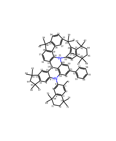 Cc1cc2c(cc1N1c3cc4c(cc3B3c5ccc6c7c5N(c5cc8c(c(c5C)C(C)(C)c5ccc(c-7c5)C6(C)C)C(C)(C)CCC8(C)C)c5cc(-c6ccccc6)cc1c53)C(C)(C)CC4(C)C)C(C)(C)CCC2(C)C